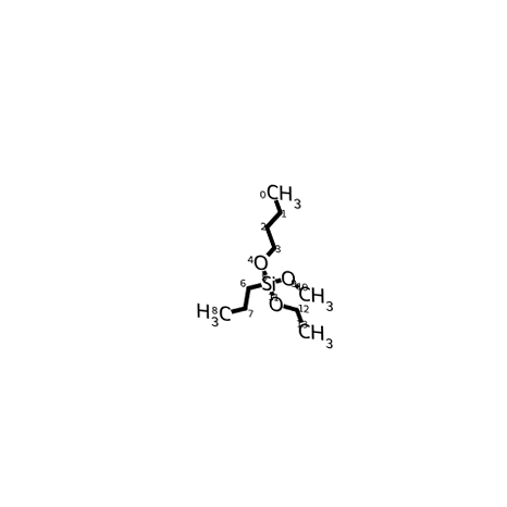 CCCCO[Si](CCC)(OC)OCC